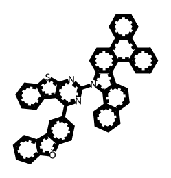 c1ccc2c(c1)ccc1c3c4c5ccccc5c5ccccc5c4ccc3n(-c3nc(-c4ccc5oc6ccccc6c5c4)c4c(n3)sc3ccccc34)c21